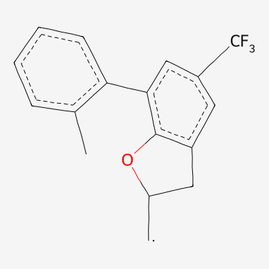 [CH2]C1Cc2cc(C(F)(F)F)cc(-c3ccccc3C)c2O1